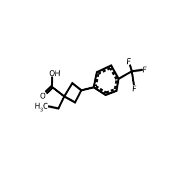 CCC1(C(=O)O)CC(c2ccc(C(F)(F)F)cc2)C1